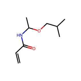 C=CC(=O)NC(C)OCC(C)C